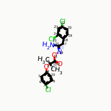 CC(C)(Oc1ccc(Cl)cc1)C(=O)O/N=C(\N)Cc1ccc(Cl)cc1Cl